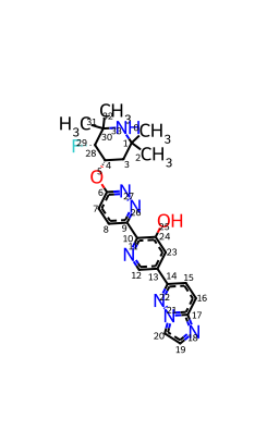 CC1(C)C[C@H](Oc2ccc(-c3ncc(-c4ccc5nccn5n4)cc3O)nn2)[C@H](F)C(C)(C)N1